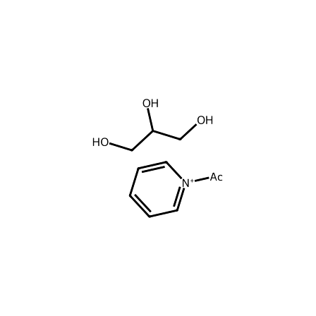 CC(=O)[n+]1ccccc1.OCC(O)CO